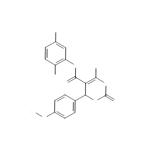 CCOc1ccc(C2NC(=S)NC(C)=C2C(=O)Nc2cc(C)ccc2C)cc1